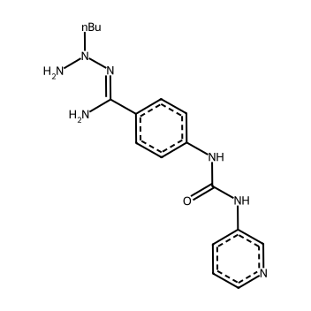 CCCCN(N)/N=C(\N)c1ccc(NC(=O)Nc2cccnc2)cc1